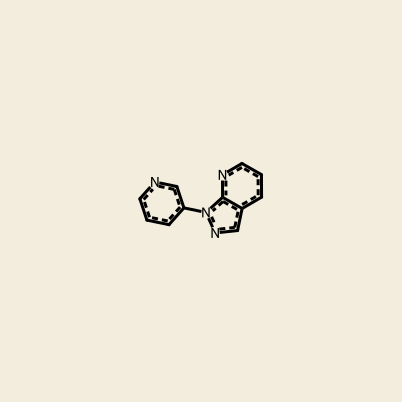 c1cncc(-n2ncc3cccnc32)c1